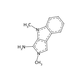 Cn1cc2c3ccccc3n(C)c2c1N